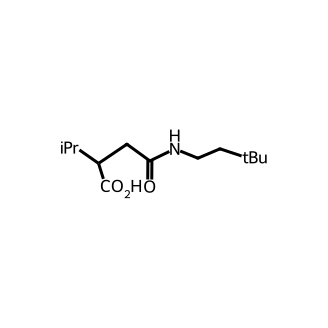 CC(C)C(CC(=O)NCCC(C)(C)C)C(=O)O